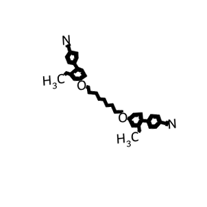 CCc1cc(OCCCCCCCCCOc2ccc(-c3ccc(C#N)cc3)c(CC)c2)ccc1-c1ccc(C#N)cc1